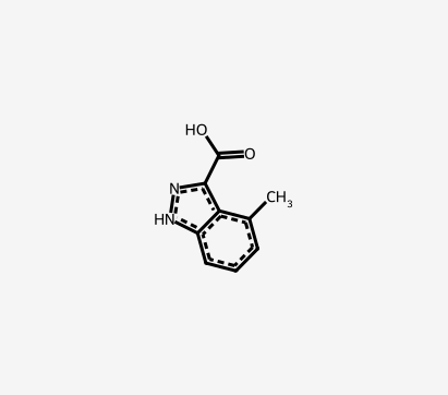 Cc1cccc2[nH]nc(C(=O)O)c12